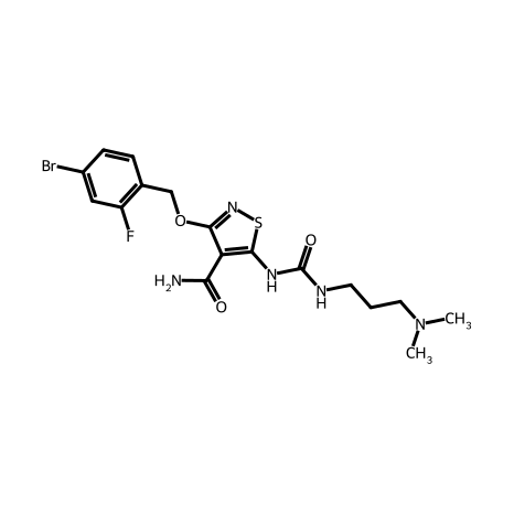 CN(C)CCCNC(=O)Nc1snc(OCc2ccc(Br)cc2F)c1C(N)=O